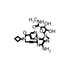 CNC(=O)[C@H]1O[C@@H](n2cnc3c(N)nc(C#CCN(C(=O)c4cncnc4)C4CCC4)nc32)C(O)[C@@H]1O